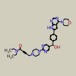 CCN(CC)C(=O)C#CCN1CCN(c2ncc(C(O)c3ccc(-c4cc5c(N6CCOCC6)ncnc5[nH]4)cc3)cn2)CC1